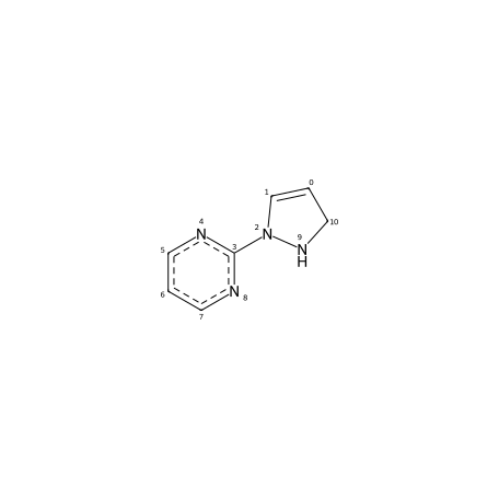 C1=CN(c2ncccn2)NC1